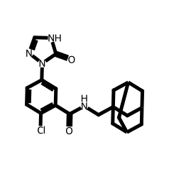 O=C(NCC12CC3CC(CC(C3)C1)C2)c1cc(-n2nc[nH]c2=O)ccc1Cl